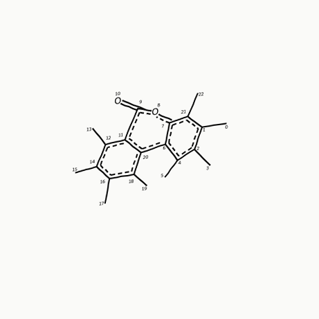 Cc1c(C)c(C)c2c(oc(=O)c3c(C)c(C)c(C)c(C)c32)c1C